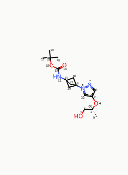 C[C@H](CO)Oc1cnn(C23CC(NC(=O)OC(C)(C)C)(C2)C3)c1